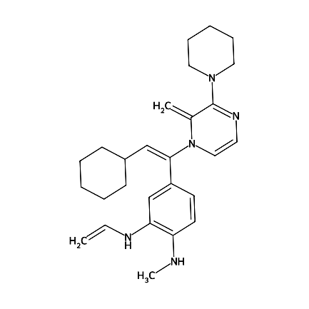 C=CNc1cc(/C(=C\C2CCCCC2)N2C=CN=C(N3CCCCC3)C2=C)ccc1NC